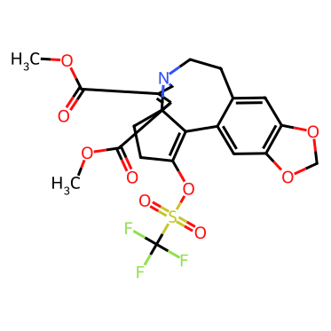 COC(=O)C1=C(C(=O)OC)C23CCC(OS(=O)(=O)C(F)(F)F)=C2c2cc4c(cc2CCN3C1)OCO4